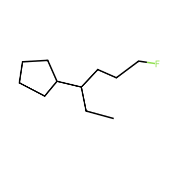 CCC(CCCF)C1CCCC1